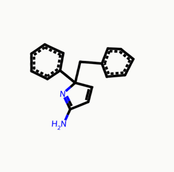 NC1=NC(Cc2ccccc2)(c2ccccc2)C=C1